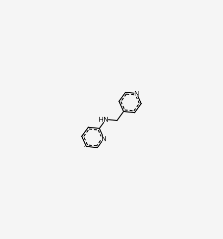 [c]1ccc(NCc2ccncc2)nc1